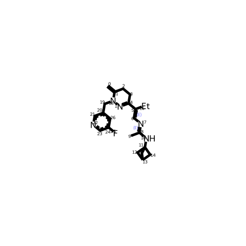 C=C1CCC(/C(=C/N=C(\C)NC23CC(C2)C3)CC)=NN1Cc1cncc(F)c1